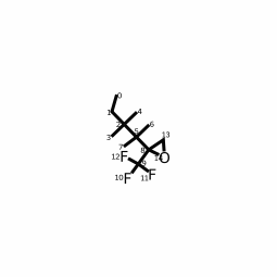 CCC(C)(C)C(C)(C)C1(C(F)(F)F)CO1